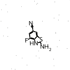 N#Cc1cc(F)c2c(c1)SC(N)N2